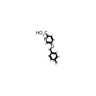 O=C(O)c1ccc(OCc2ccc(F)cc2)cn1